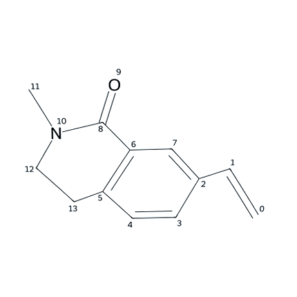 C=Cc1ccc2c(c1)C(=O)N(C)CC2